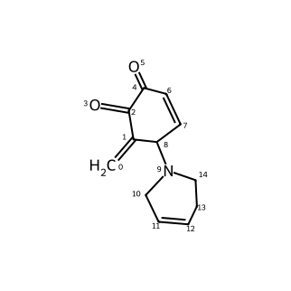 C=C1C(=O)C(=O)C=CC1N1CC=CCC1